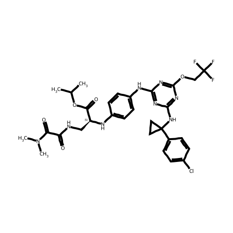 CC(C)OC(=O)[C@H](CNC(=O)C(=O)N(C)C)Nc1ccc(Nc2nc(NC3(c4ccc(Cl)cc4)CC3)nc(OCC(F)(F)F)n2)cc1